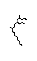 C=CCCCCC=CC(C)CCC(=CCC)CC(C)CC=C